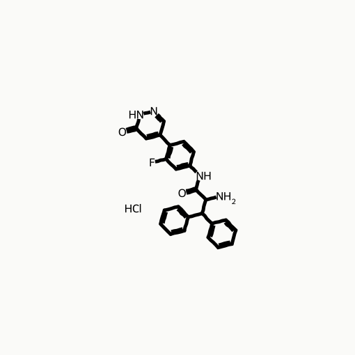 Cl.NC(C(=O)Nc1ccc(-c2cn[nH]c(=O)c2)c(F)c1)C(c1ccccc1)c1ccccc1